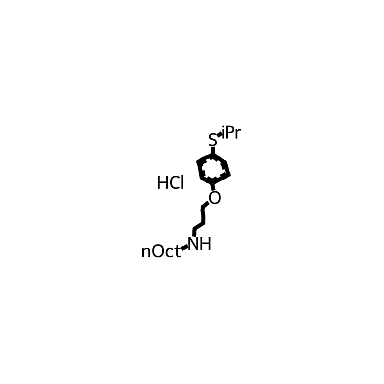 CCCCCCCCNCCCOc1ccc(SC(C)C)cc1.Cl